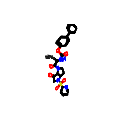 CCCC(NC(=O)Oc1ccc(-c2ccccc2)cc1)C(=O)N1CCC2C1C(=O)CN2S(=O)(=O)c1ccccn1